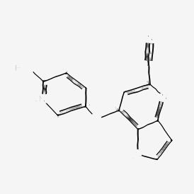 Cc1ccc(Oc2cc(C#N)nc3ccsc23)cn1